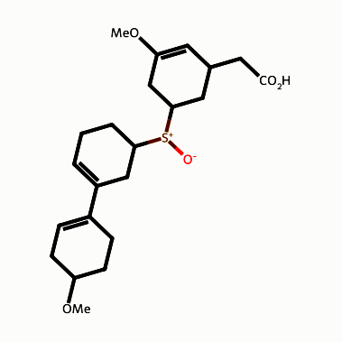 COC1=CC(CC(=O)O)CC([S+]([O-])C2CCC=C(C3=CCC(OC)CC3)C2)C1